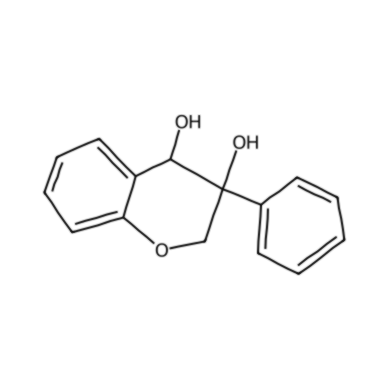 OC1c2ccccc2OCC1(O)c1ccccc1